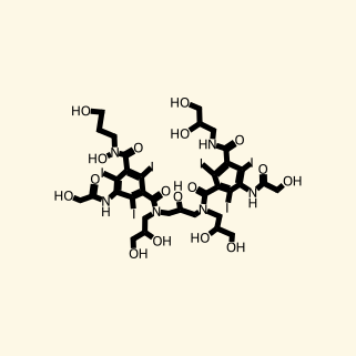 O=C(CO)Nc1c(I)c(C(=O)NCC(O)CO)c(I)c(C(=O)N(CC(O)CO)CC(O)CN(CC(O)CO)C(=O)c2c(I)c(NC(=O)CO)c(I)c(C(=O)N(O)CCCO)c2I)c1I